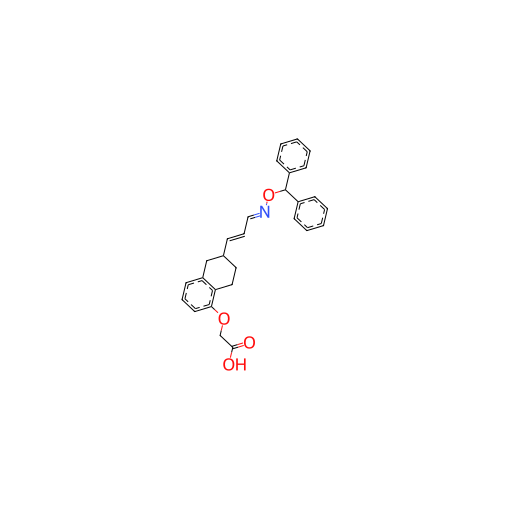 O=C(O)COc1cccc2c1CCC(C=CC=NOC(c1ccccc1)c1ccccc1)C2